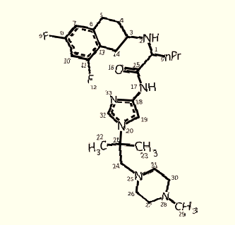 CCCC(NC1CCc2cc(F)cc(F)c2C1)C(=O)Nc1cn(C(C)(C)CN2CCN(C)CC2)cn1